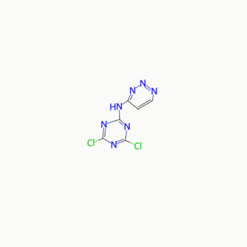 Clc1nc(Cl)nc(Nc2ccnnn2)n1